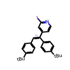 CC(C)(C)c1ccc(/C=C(\c2ccc(C(C)(C)C)cc2)c2ccnc(I)c2)cc1